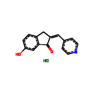 Cl.O=C1C(=Cc2ccncc2)Cc2ccc(O)cc21